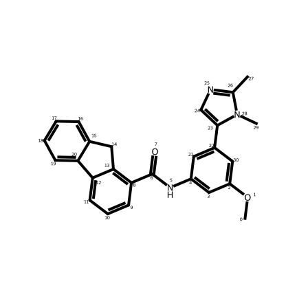 COc1cc(NC(=O)c2cccc3c2Cc2ccccc2-3)cc(-c2cnc(C)n2C)c1